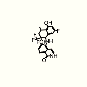 CC1CC(O)(C(F)(F)F)C(Nc2cccc3c(=O)[nH]ccc23)c2cc(F)cc(O)c21